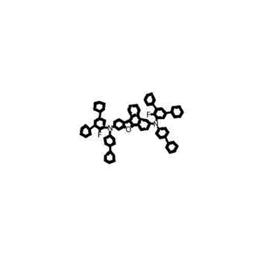 Fc1c(-c2ccccc2)cc(-c2ccccc2)cc1N(c1ccc(-c2ccccc2)cc1)c1ccc2c(c1)oc1c3ccc(N(c4ccc(-c5ccccc5)cc4)c4cc(-c5ccccc5)cc(-c5ccccc5)c4F)cc3c3ccccc3c21